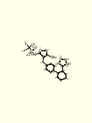 CCCCc1noc(NS(=O)(=O)C(F)(F)C(F)(F)F)c1Cc1ccc(-c2ccccc2-c2nnn[nH]2)cc1